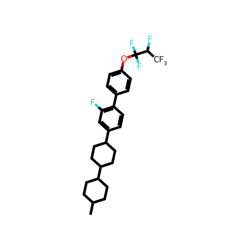 CC1CCC(C2CCC(c3ccc(-c4ccc(OC(F)(F)C(F)C(F)(F)F)cc4)c(F)c3)CC2)CC1